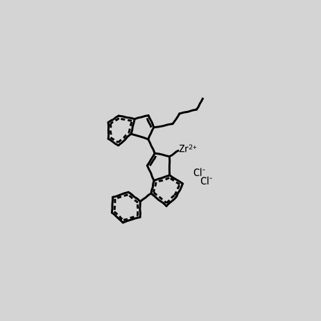 CCCCC1=Cc2ccccc2C1C1=Cc2c(-c3ccccc3)cccc2[CH]1[Zr+2].[Cl-].[Cl-]